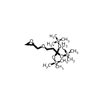 C[Si](C)(C)OC(CCOCC1CO1)(O[Si](C)(C)C)O[Si](C)(C)C